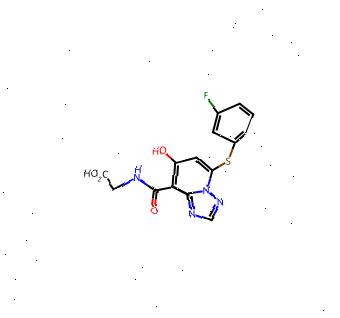 O=C(O)CNC(=O)c1c(O)cc(Sc2cccc(F)c2)n2ncnc12